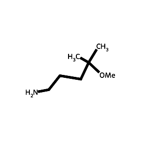 COC(C)(C)CCCN